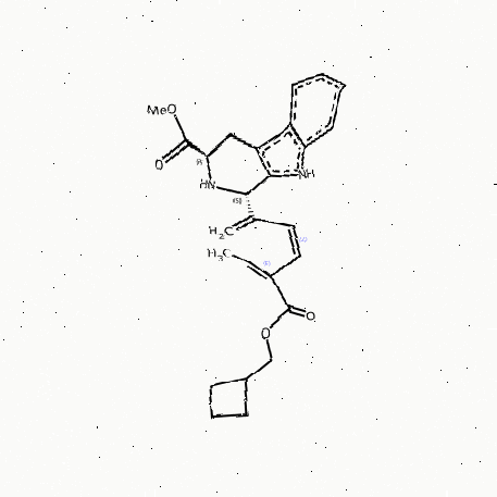 C=C(/C=C\C(=C/C)C(=O)OCC1CCC1)[C@@H]1N[C@@H](C(=O)OC)Cc2c1[nH]c1ccccc21